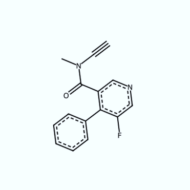 C#CN(C)C(=O)c1cncc(F)c1-c1ccccc1